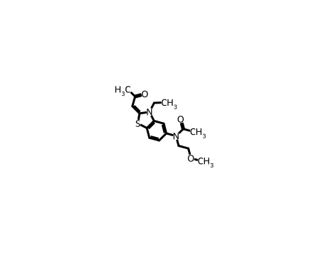 CCN1C(=CC(C)=O)Sc2ccc(N(CCOC)C(C)=O)cc21